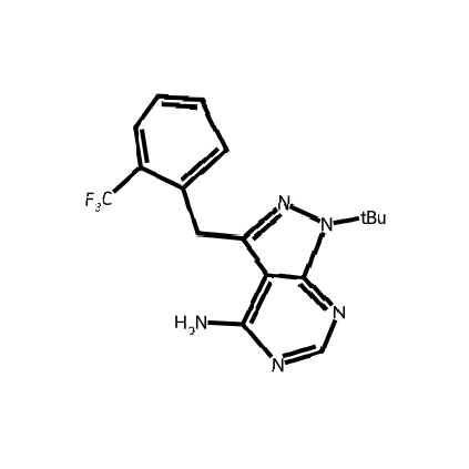 CC(C)(C)n1nc(Cc2ccccc2C(F)(F)F)c2c(N)ncnc21